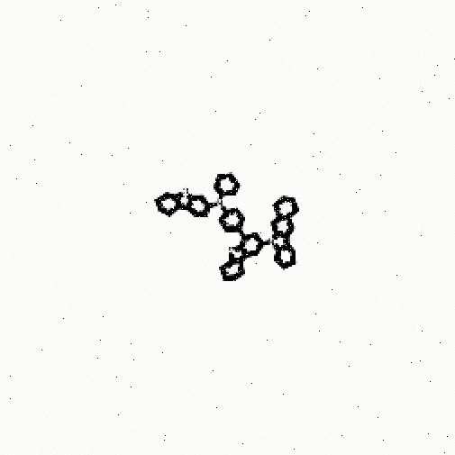 c1ccc(N(c2ccc(-c3cc(-n4c5ccccc5c5cc6ccccc6cc54)cc4c3sc3ccccc34)cc2)c2ccc3c(c2)oc2ccccc23)cc1